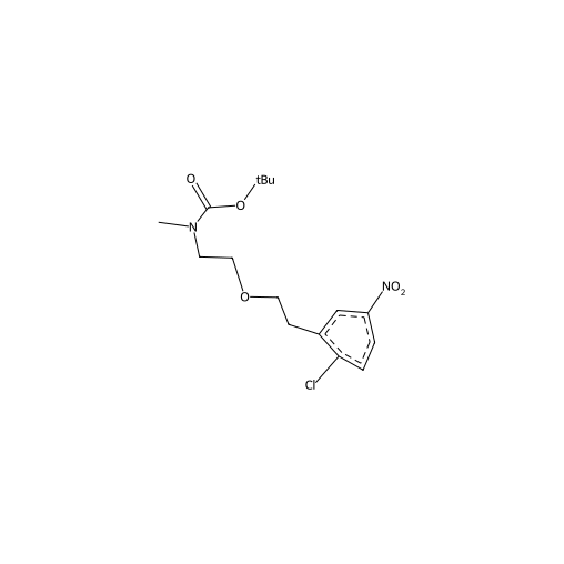 CN(CCOCCc1cc([N+](=O)[O-])ccc1Cl)C(=O)OC(C)(C)C